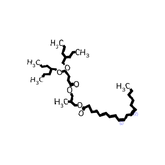 CCCCC/C=C\C/C=C\CCCCCCCC(=O)OCC(C)COC(=O)CCC(OCC(CCC)CCC)OCC(CCC)CCC